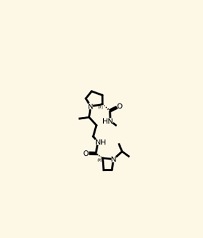 CNC(=O)[C@H]1CCCN1C(C)CCNC(=O)[C@H]1CCN1C(C)C